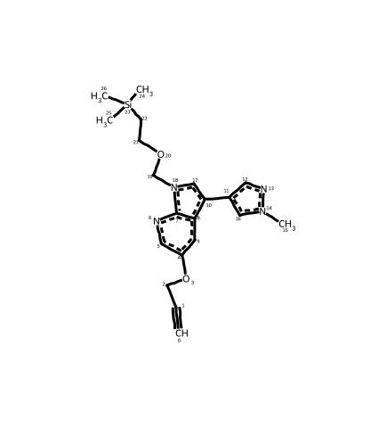 C#CCOc1cnc2c(c1)c(-c1cnn(C)c1)cn2COCC[Si](C)(C)C